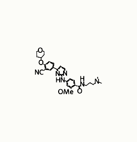 COc1cc(Nc2nccc(-c3ccc(OC4CCOCC4)c(C#N)c3)n2)ccc1C(=O)NCCCN(C)C